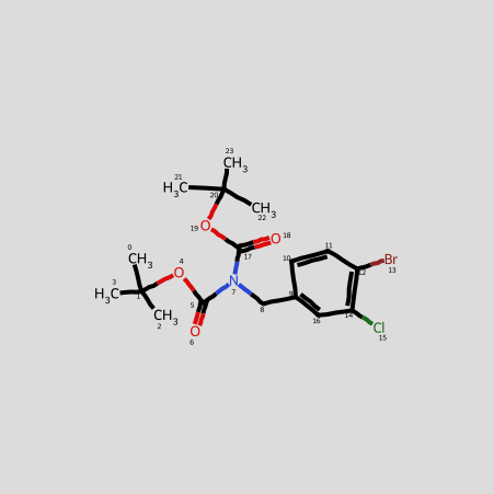 CC(C)(C)OC(=O)N(Cc1ccc(Br)c(Cl)c1)C(=O)OC(C)(C)C